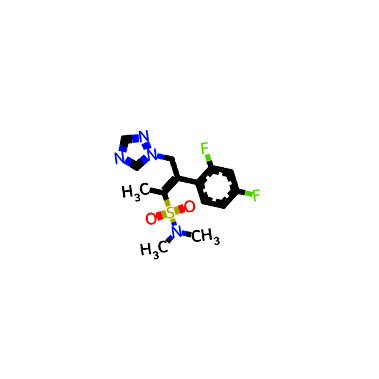 CC(=C(Cn1cncn1)c1ccc(F)cc1F)S(=O)(=O)N(C)C